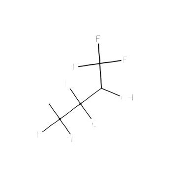 CC(C(F)(F)F)C(F)(Cl)C(F)(F)F